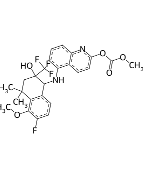 COC(=O)Oc1ccc2c(NC3c4ccc(F)c(OC)c4C(C)(C)CC3(O)C(F)(F)F)cccc2n1